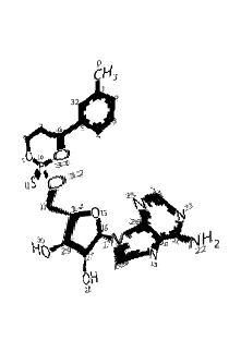 Cc1cccc(C2CCOP(=S)(OC[C@H]3O[C@@H](n4cnc5c(N)ncnc54)[C@@H](O)[C@H]3O)O2)c1